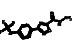 NNC(=O)c1nc(-c2ccc(OC(F)(F)F)cc2)no1